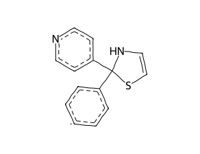 [c]1ccc(C2(c3ccncc3)NC=CS2)cc1